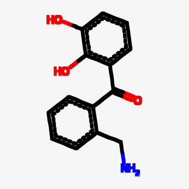 NCc1ccccc1C(=O)c1cccc(O)c1O